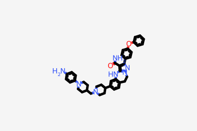 NC(=O)c1c(-c2ccc(Oc3ccccc3)cc2)nn2c1Nc1cc(C3CCN(CC4CCN(c5ccc(N)cc5)CC4)CC3)ccc1CC2